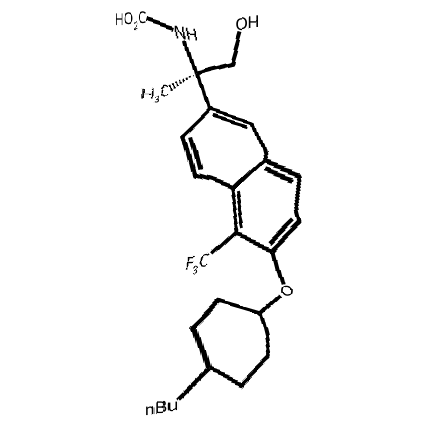 CCCCC1CCC(Oc2ccc3cc([C@](C)(CO)NC(=O)O)ccc3c2C(F)(F)F)CC1